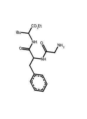 CCOC(=O)C(NC(=O)C(Cc1ccccc1)NC(=O)CN)C(C)CC